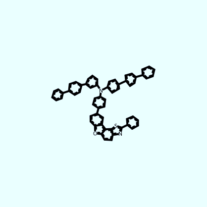 c1ccc(-c2ccc(-c3ccc(N(c4ccc(-c5ccc6oc7ccc8nc(-c9ccccc9)sc8c7c6c5)cc4)c4cccc(-c5ccc(-c6ccccc6)cc5)c4)cc3)cc2)cc1